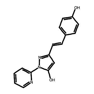 Oc1ccc(C=Cc2cc(O)n(-c3ccccn3)n2)cc1